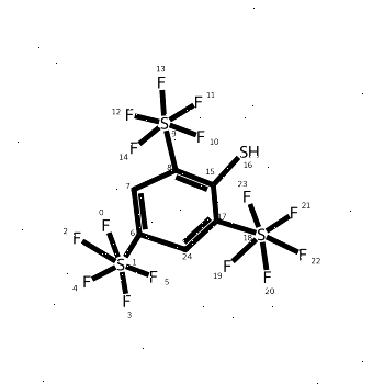 FS(F)(F)(F)(F)c1cc(S(F)(F)(F)(F)F)c(S)c(S(F)(F)(F)(F)F)c1